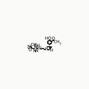 CC(=O)c1cc([C@]23C[C@@H]2CN(CCCSc2nnc(-c4ocnc4C)n2C)C3)ccc1O